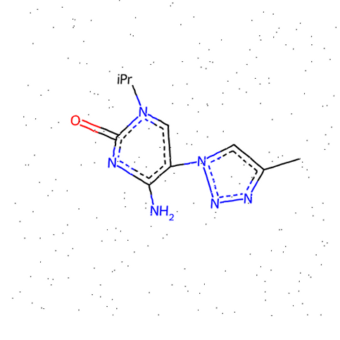 Cc1cn(-c2cn(C(C)C)c(=O)nc2N)nn1